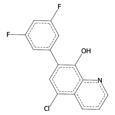 Oc1c(-c2cc(F)cc(F)c2)cc(Cl)c2cccnc12